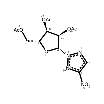 CC(=O)OC[C@H]1O[C@@H](n2ncc([N+](=O)[O-])n2)[C@H](OC(C)=O)[C@@H]1OC(C)=O